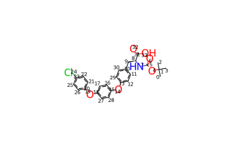 CC(C)(C)OC(=O)N[C@@H](Cc1ccc(Oc2ccc(Oc3ccc(Cl)cc3)cc2)cc1)C(=O)O